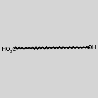 O=C(O)CCCCCCCCCCCCCCCCCCCCCCCCCCCCCCCCCCCCCCCCCCCCO